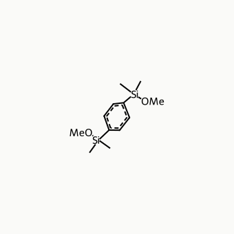 CO[Si](C)(C)c1ccc([Si](C)(C)OC)cc1